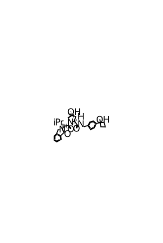 CC(C)[C@@H](C(=O)N1C[C@H](O)C[C@H]1C(=O)NCc1ccc(C2(O)CCC2)cc1)N1Cc2ccccc2C1=O